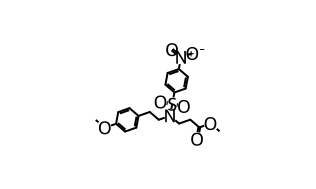 COC(=O)CCN(CCc1ccc(OC)cc1)S(=O)(=O)c1ccc([N+](=O)[O-])cc1